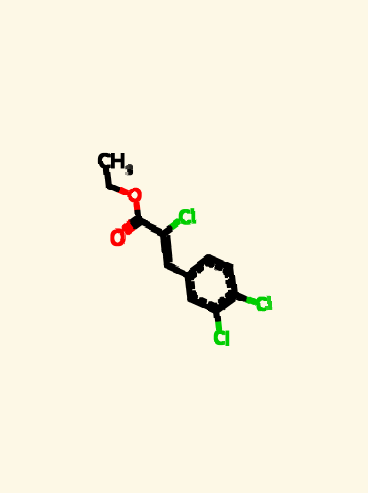 CCOC(=O)C(Cl)=Cc1ccc(Cl)c(Cl)c1